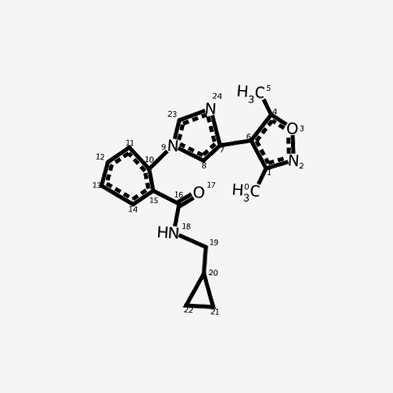 Cc1noc(C)c1-c1cn(-c2ccccc2C(=O)NCC2CC2)cn1